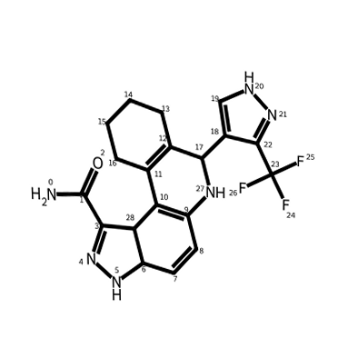 NC(=O)C1=NNC2C=CC3=C(C4=C(CCCC4)C(c4c[nH]nc4C(F)(F)F)N3)C12